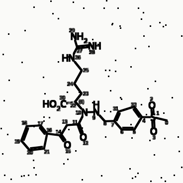 CS(=O)(=O)c1ccc(CNN(C(=O)CC(=O)c2ccccc2)[C@@H](CCCNC(=N)N)C(=O)O)cc1